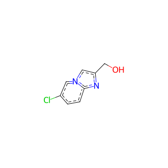 OCc1cn2cc(Cl)ccc2n1